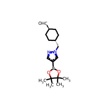 CC1(C)OB(c2cnn(C[C@H]3CC[C@H](C=O)CC3)c2)OC1(C)C